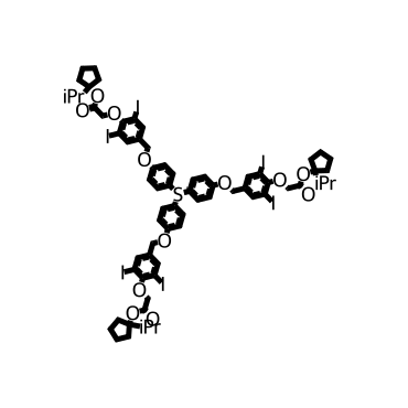 CC(C)C1(OC(=O)COc2c(I)cc(COc3ccc([S+](c4ccc(OCc5cc(I)c(OCC(=O)OC6(C(C)C)CCCC6)c(I)c5)cc4)c4ccc(OCc5cc(I)c(OCC(=O)OC6(C(C)C)CCCC6)c(I)c5)cc4)cc3)cc2I)CCCC1